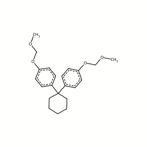 COCOc1ccc(C2(c3ccc(OCOC)cc3)CCCCC2)cc1